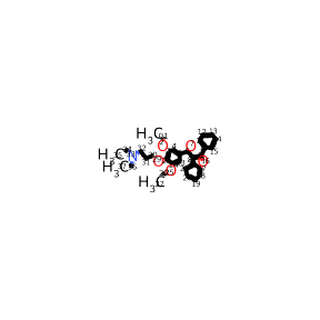 CCOc1cc(C(=O)c2c(-c3ccccc3)oc3ccccc23)cc(OCC)c1OCCCN(CC)CC